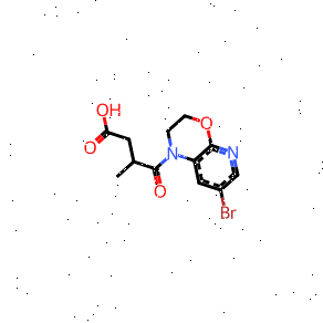 CC(CC(=O)O)C(=O)N1CCOc2ncc(Br)cc21